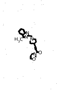 Cc1nc(CN2CCC(C#CC(=O)N3CC=COC3)CC2)nc2ccccc12